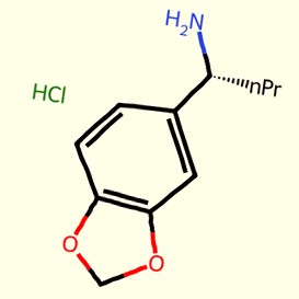 CCC[C@@H](N)c1ccc2c(c1)OCO2.Cl